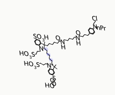 CCCN(CCCl)c1ccc(CCCC(=O)NCCCCCNC(=O)CCCCCC2(C)/C(=C/C=C/C=C/C3=[N+](CCCS(=O)(=O)O)c4ccc(SOOO)cc4C3(C)C)N(CCCS(=O)(=O)O)c3ccc(S(=O)(=O)O)cc32)cc1